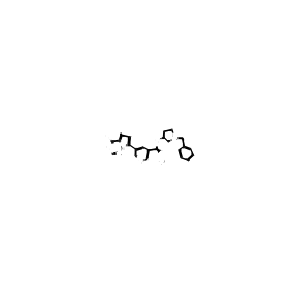 COc1ncc(-c2cc(C(F)(F)F)c3c(N)ncnn23)cc1C(=O)NC1CCN(C(=O)c2ccc(C)cc2)C1